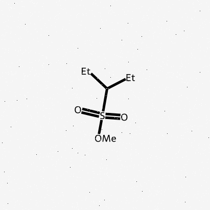 [CH2]OS(=O)(=O)C(CC)CC